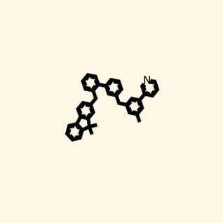 Cc1cc(Cc2cccc(-c3ccccc3Cc3ccc4c(c3)C(C)(C)c3ccccc3-4)c2)cc(-c2cccnc2)c1